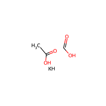 CC(=O)O.O=CO.[KH]